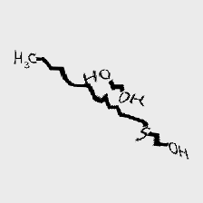 CCCCCCCCCCCCSCCO.OCCO